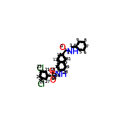 O=C(NCc1ccccc1)c1ccc2cc(NS(=O)(=O)c3cc(Cl)cc(Cl)c3)ccc2c1